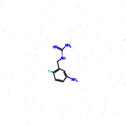 N=C(N)NCc1cc(N)ccc1F